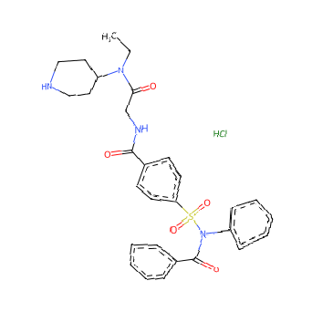 CCN(C(=O)CNC(=O)c1ccc(S(=O)(=O)N(C(=O)c2ccccc2)c2ccccc2)cc1)C1CCNCC1.Cl